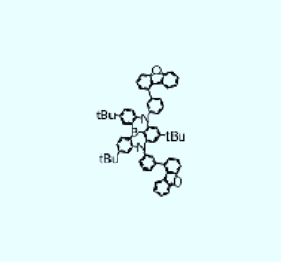 CC(C)(C)c1ccc2c(c1)B1c3ccc(C(C)(C)C)cc3N(c3cccc(-c4cccc5oc6ccccc6c45)c3)c3cc(C(C)(C)C)cc(c31)N2c1cccc(-c2cccc3oc4ccccc4c23)c1